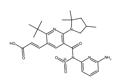 CC1CN(c2nc(C(C)(C)C)c(C=CC(=O)O)cc2C(=O)N(c2cccc(N)n2)[SH](=O)=O)C(C)(C)C1